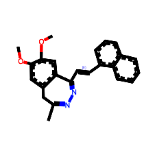 COc1cc2c(cc1OC)C(/C=C/c1cccc3ccccc13)=NN=C(C)C2